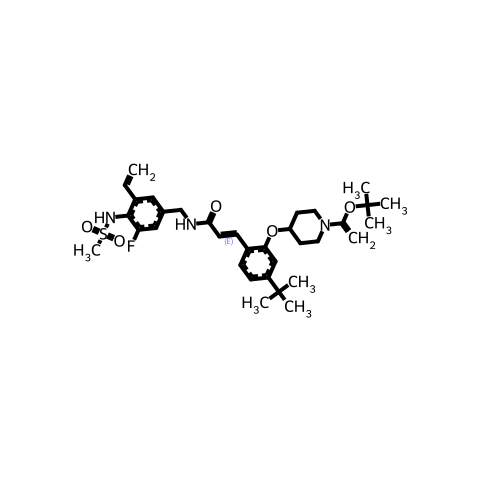 C=Cc1cc(CNC(=O)/C=C/c2ccc(C(C)(C)C)cc2OC2CCN(C(=C)OC(C)(C)C)CC2)cc(F)c1NS(C)(=O)=O